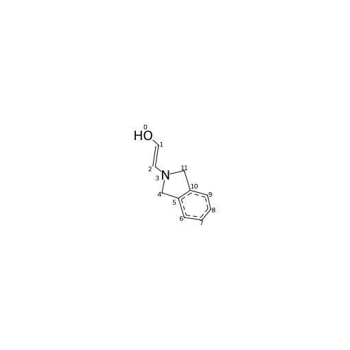 OC=CN1Cc2ccccc2C1